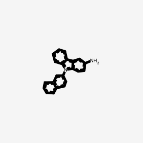 Nc1ccc2c(c1)c1ccccc1n2-c1ccc2ccccc2c1